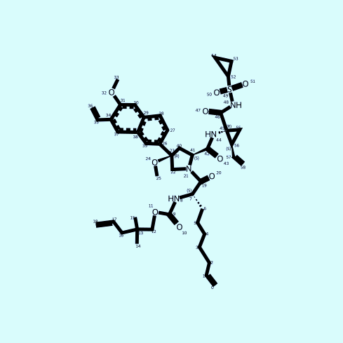 C=CCCCCC[C@H](NC(=O)OCC(C)(C)CC=C)C(=O)N1C[C@](OC)(c2ccc3cc(OC)c(C=C)cc3c2)C[C@H]1C(=O)N[C@]1(C(=O)NS(=O)(=O)C2CC2)C[C@H]1C=C